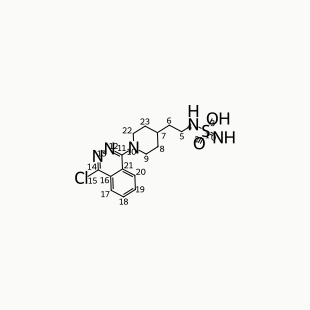 N=S(=O)(O)NCCC1CCN(c2nnc(Cl)c3ccccc23)CC1